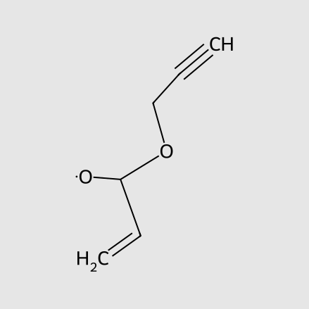 C#CCOC([O])C=C